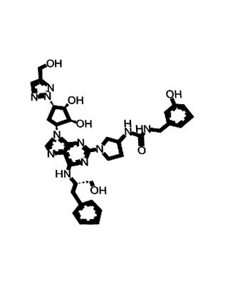 O=C(NCc1cccc(O)c1)NC1CCN(c2nc(N[C@H](CO)Cc3ccccc3)c3ncn([C@@H]4C[C@H](n5ncc(CO)n5)[C@@H](O)[C@H]4O)c3n2)C1